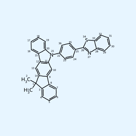 CC1(C)c2ccccc2-c2cc3c(cc21)c1ccccc1n3-c1ccc(-c2nc3ccccc3s2)cc1